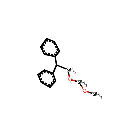 [SiH3]O[SiH2]O[SiH2]C(c1ccccc1)c1ccccc1